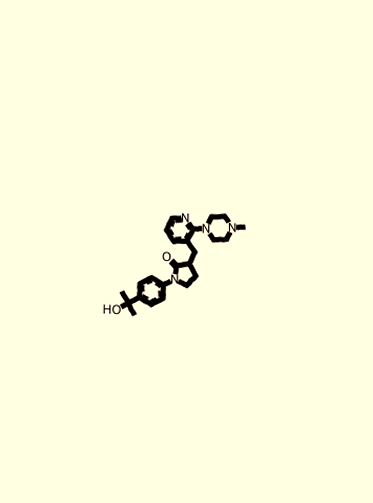 CN1CCN(c2ncccc2CC2CCN(c3ccc(C(C)(C)O)cc3)C2=O)CC1